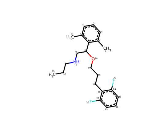 Cc1cccc(C)c1C(CNCCC(F)(F)F)OCCCc1c(F)cccc1F